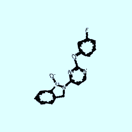 [O-][S+]1c2ccccc2CN1c1ccnc(Oc2cccc(F)c2)n1